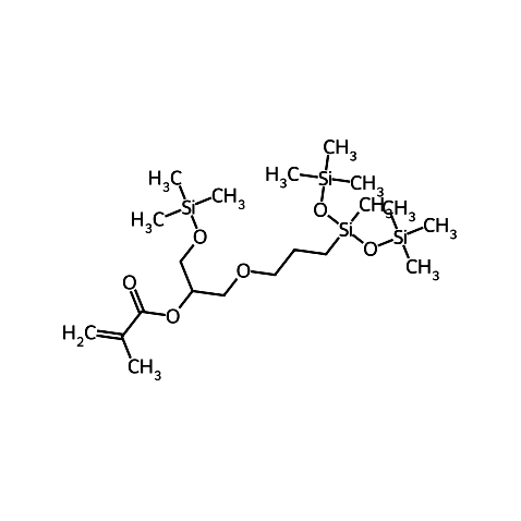 C=C(C)C(=O)OC(COCCC[Si](C)(O[Si](C)(C)C)O[Si](C)(C)C)CO[Si](C)(C)C